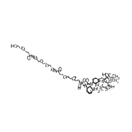 CC(C)(C)OC(=O)[C@H](Cc1ccc(-n2c(=O)n(CC(=O)NCCOCCOCCC(=O)NCCCOCCOCCCNC(=O)CCOCCO)c3cccnc32)cc1)NC(=O)[C@H]1NCSC1(C)C